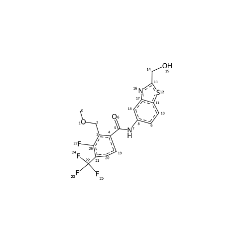 COCc1c(C(=O)Nc2ccc3sc(CO)nc3c2)ccc(C(F)(F)F)c1F